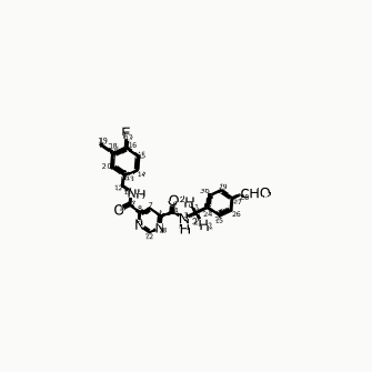 [2H]C([2H])(NC(=O)c1cc(C(=O)NCc2ccc(F)c(C)c2)ncn1)c1ccc(C=O)cc1